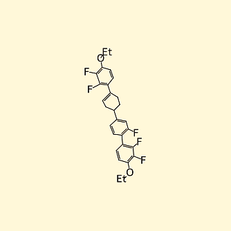 CCOc1ccc(C2=CCC(c3ccc(-c4ccc(OCC)c(F)c4F)c(F)c3)CC2)c(F)c1F